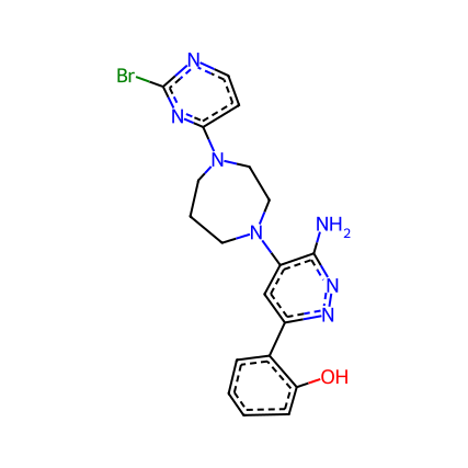 Nc1nnc(-c2ccccc2O)cc1N1CCCN(c2ccnc(Br)n2)CC1